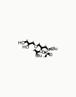 CC(OC(COCC(O)CO)CN(C(C)(C)C)S(C)(=O)=O)C(C)(C)C